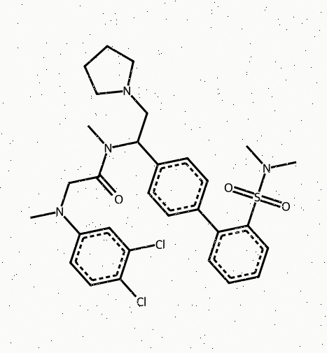 CN(CC(=O)N(C)C(CN1CCCC1)c1ccc(-c2ccccc2S(=O)(=O)N(C)C)cc1)c1ccc(Cl)c(Cl)c1